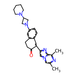 Cc1cn2cc(C3=Cc4ccc(N5CC(N6CCCCC6)C5)cc4CCC3=O)nc2c(C)n1